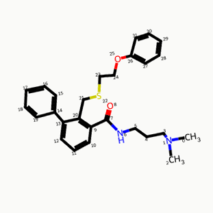 CN(C)CCCNC(=O)c1cccc(-c2ccccc2)c1CSCCOc1ccccc1